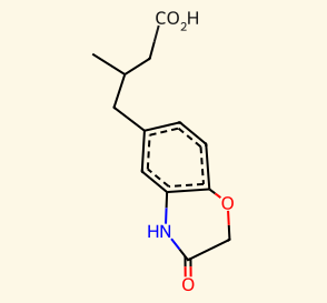 CC(CC(=O)O)Cc1ccc2c(c1)NC(=O)CO2